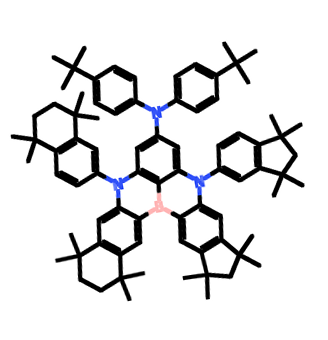 CC(C)(C)c1ccc(N(c2ccc(C(C)(C)C)cc2)c2cc3c4c(c2)N(c2ccc5c(c2)C(C)(C)CC5(C)C)c2cc5c(cc2B4c2cc4c(cc2N3c2ccc3c(c2)C(C)(C)CCC3(C)C)C(C)(C)CCC4(C)C)C(C)(C)CC5(C)C)cc1